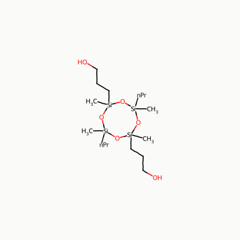 CCC[Si]1(C)O[Si](C)(CCCO)O[Si](C)(CCC)O[Si](C)(CCCO)O1